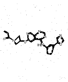 C=CC(=O)N1CC(Oc2cc3c(Nc4cccc(-c5cnco5)c4)ncnc3cn2)C1